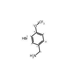 Br.NCc1ccc(OC(F)(F)F)cc1